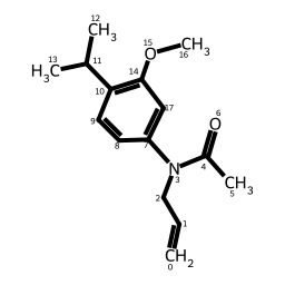 C=CCN(C(C)=O)c1ccc(C(C)C)c(OC)c1